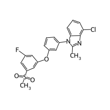 Cc1nc2c(Cl)cccc2n1-c1cccc(Oc2cc(F)cc(S(C)(=O)=O)c2)c1